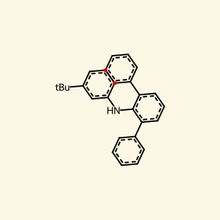 CC(C)(C)c1cccc(Nc2c(-c3ccccc3)cccc2-c2ccccc2)c1